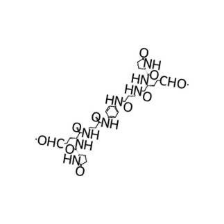 O=[C]CC[C@H](NC(=O)[C@@H]1CCC(=O)N1)C(=O)NCCC(=O)Nc1ccc(NC(=O)CCNC(=O)[C@H](CC[C]=O)NC(=O)[C@@H]2CCC(=O)N2)cc1